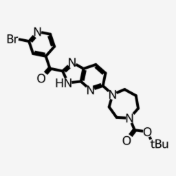 CC(C)(C)OC(=O)N1CCCN(c2ccc3nc(C(=O)c4ccnc(Br)c4)[nH]c3n2)CC1